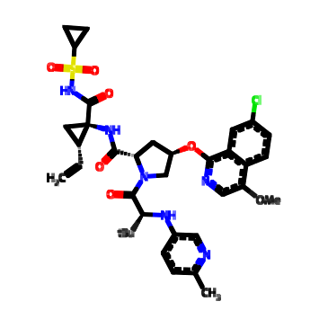 C=C[C@@H]1C[C@]1(NC(=O)[C@@H]1C[C@@H](Oc2ncc(OC)c3ccc(Cl)cc23)CN1C(=O)[C@@H](Nc1ccc(C)nc1)C(C)(C)C)C(=O)NS(=O)(=O)C1CC1